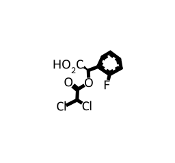 O=C(O[C@@H](C(=O)O)c1ccccc1F)C(Cl)Cl